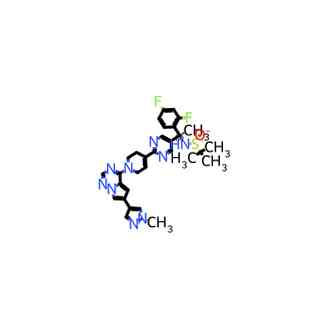 Cn1cc(-c2cc3c(N4CC=C(c5ncc([C@](C)(N[S+]([O-])C(C)(C)C)c6ccc(F)cc6F)cn5)CC4)ncnn3c2)cn1